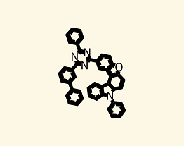 C1=CC2C(c3ccccc3N2c2ccccc2)c2c1oc1ccc(-c3nc(-c4ccccc4)nc(-c4cccc(-c5ccccc5)c4)n3)cc21